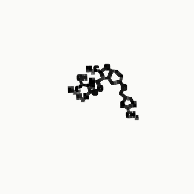 Cc1ncc(COc2ccc3oc(C)c(C(=O)N[C@H](C(N)=O)[C@@H](C)O)c3c2)s1